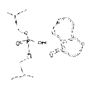 CC(C)COP(=O)(O)OCC(C)C.O=c1ccoc2ccccc12